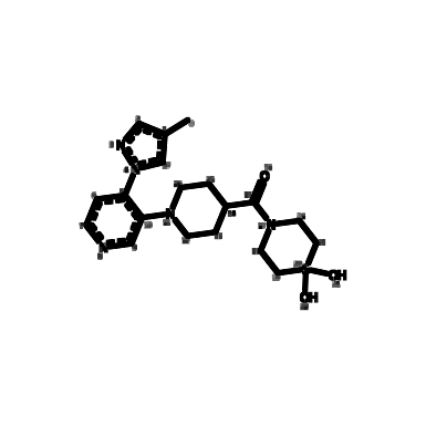 Cc1cnn(-c2ccncc2N2CCC(C(=O)N3CCS(O)(O)CC3)CC2)c1